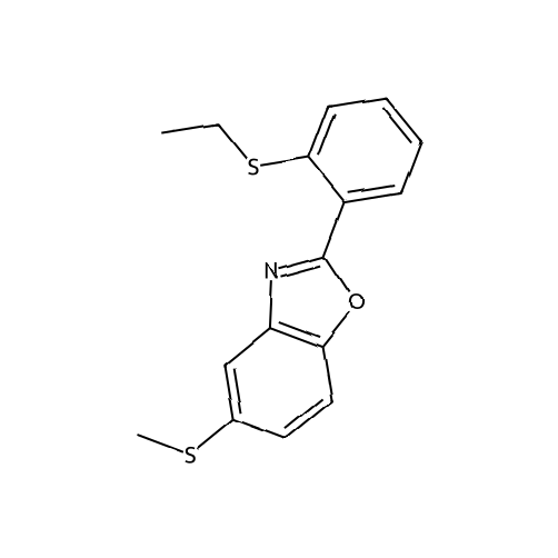 CCSc1ccccc1-c1nc2cc(SC)ccc2o1